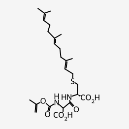 C=C(C)OC(=O)NC(C(=O)O)C(=O)N[C@@H](CSC/C=C(\C)CC/C=C(\C)CCC=C(C)C)C(=O)O